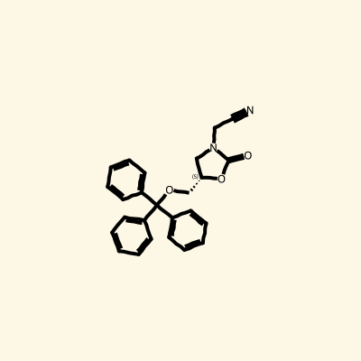 N#CCN1C[C@@H](COC(c2ccccc2)(c2ccccc2)c2ccccc2)OC1=O